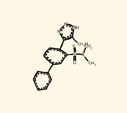 CN(C)S(=O)(=O)c1cc(-c2ccccc2)ccc1-c1nn[nH]c1C(=O)O